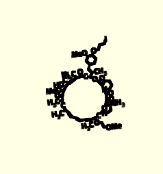 COCCO[C@H]1C[C@@H]2CC[C@@H](C)[C@@](O)(O2)C(=O)C(=O)N2CCCCC2C(=O)O[C@H]([C@H](C)C[C@@H]2CC[C@@H](OCCCI)[C@H](OC)C2)CC(=O)[C@H](C)/C=C(\C)[C@@H](O)[C@@H](OC)C(=O)[C@H](C)C[C@H](C)/C=C/C=C/C=C/1C